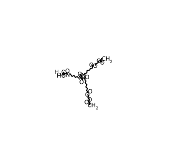 C=CC(=O)OCCOC(=O)CCCCCCn1c(=O)n(CCCCCCNC(=O)C(C)O)c(=O)n(CCCCCCC(=O)OCCOC(=O)C=C)c1=O